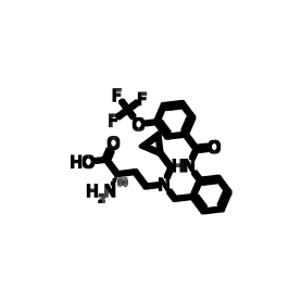 N[C@@H](CCN(Cc1ccccc1NC(=O)c1cccc(OC(F)(F)F)c1)CC1CC1)C(=O)O